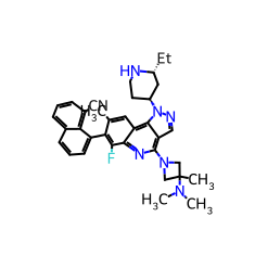 CC[C@@H]1C[C@@H](n2ncc3c(N4CC(C)(N(C)C)C4)nc4c(F)c(-c5cccc6cccc(C#N)c56)c(C)cc4c32)CCN1